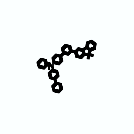 CC1(C)c2ccccc2-c2cc(-c3cccc(-c4ccc(N(c5ccccc5)c5ccc(-c6ccccc6)cc5)cc4)c3)ccc21